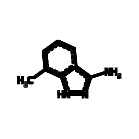 Cc1cccc2c(N)n[nH]c12